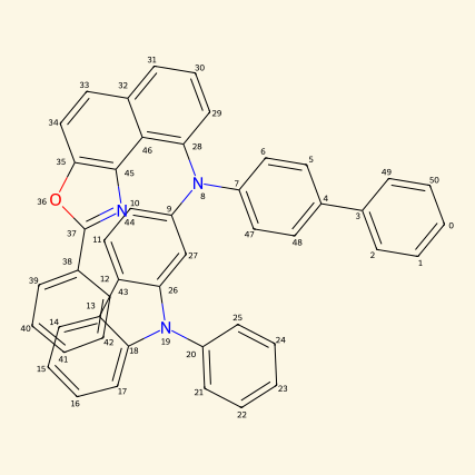 c1ccc(-c2ccc(N(c3ccc4c5ccccc5n(-c5ccccc5)c4c3)c3cccc4ccc5oc(-c6ccccc6)nc5c34)cc2)cc1